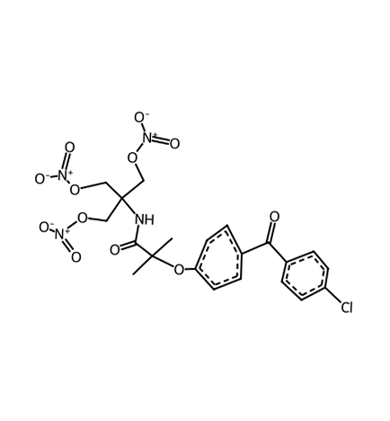 CC(C)(Oc1ccc(C(=O)c2ccc(Cl)cc2)cc1)C(=O)NC(CO[N+](=O)[O-])(CO[N+](=O)[O-])CO[N+](=O)[O-]